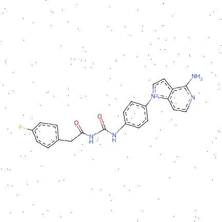 Nc1nccc2c1ccn2-c1ccc(NC(=O)NC(=O)Cc2ccc(F)cc2)cc1